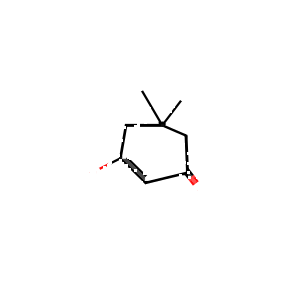 CC1(C)CC(=O)C=C(O)C1